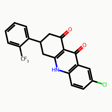 O=C1CC(c2ccccc2C(F)(F)F)Cc2[nH]c3ccc(Cl)cc3c(=O)c21